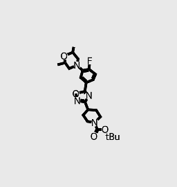 CC1CN(c2cc(-c3nc(C4CCN(C(=O)OC(C)(C)C)CC4)no3)ccc2F)CC(C)O1